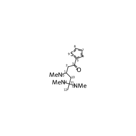 CNC(CC(=O)c1cccs1)CC(C)(NC)NC